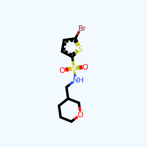 O=S(=O)(NCC1CCCOC1)c1ccc(Br)s1